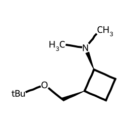 CN(C)[C@H]1CC[C@H]1COC(C)(C)C